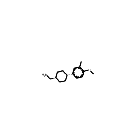 BC[C@H]1CC[C@H](c2ccc(OC)c(C)c2)CC1